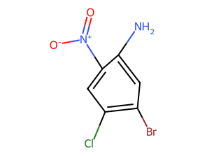 Nc1cc(Br)c(Cl)cc1[N+](=O)[O-]